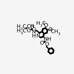 COc1cc2c(NC(=O)OCc3ccccc3)cnc(CNC(=O)OC(C)(C)C)c2cc1OC